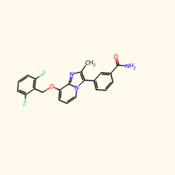 Cc1nc2c(OCc3c(F)cccc3F)cccn2c1-c1cccc(C(N)=O)c1